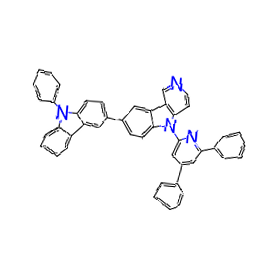 c1ccc(-c2cc(-c3ccccc3)nc(-n3c4ccncc4c4cc(-c5ccc6c(c5)c5ccccc5n6-c5ccccc5)ccc43)c2)cc1